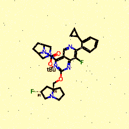 CC(C)(C)OC(=O)N1C2CCC1CN(c1nc(OC[C@@]34CCCN3C[C@H](F)C4)nc3c(F)c(-c4ccccc4C4CC4)ncc13)C2